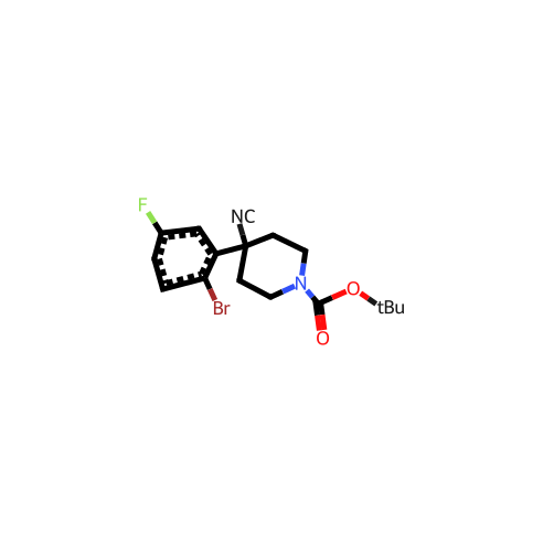 [C-]#[N+]C1(c2cc(F)ccc2Br)CCN(C(=O)OC(C)(C)C)CC1